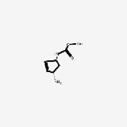 CC(C)(C)OC(=O)N[C@H]1C=C[C@@H](N)C1